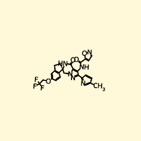 Cc1ccc(-c2nn3c(c2NC(=O)c2ccno2)C(=O)N[C@]2(CCc4cc(OCC(F)(F)F)ccc42)C3)nc1